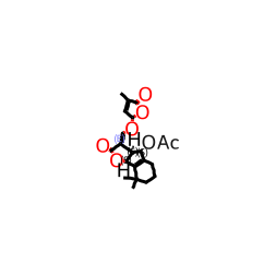 CC(=O)O[C@@H]1C2=C([C@H]3OC(=O)/C(=C/OC4C=C(C)C(=O)O4)[C@@H]13)C(C)(C)CCC2